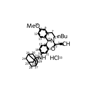 C#CC(=O)N1[C@@H](CCCC)Cc2cc(OC)ccc2[C@@H]1c1ccc(NC23CC4CC(CC(C4)C2)C3)cc1.Cl